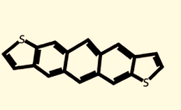 c1cc2cc3cc4cc5sccc5cc4cc3cc2s1